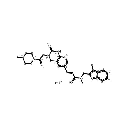 Cc1c(CN(C)C(=O)/C=C/c2cnc3c(c2)CN(CC(=O)N2CCN(C)CC2)C(=O)N3)sc2ccccc12.Cl